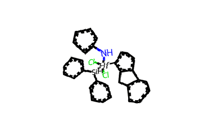 [Cl][Hf]([Cl])([NH]c1ccccc1)([c]1cccc2c1Cc1ccccc1-2)[SiH](c1ccccc1)c1ccccc1